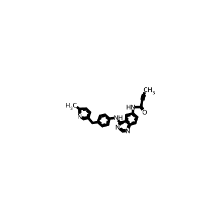 CC#CC(=O)Nc1ccc2ncnc(Nc3ccc(Cc4ccc(C)nc4)cc3)c2c1